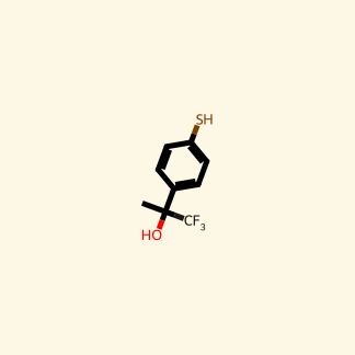 CC(O)(c1ccc(S)cc1)C(F)(F)F